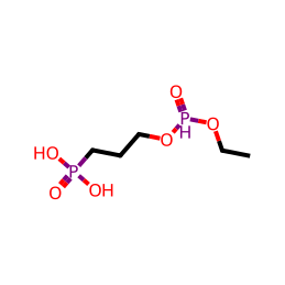 CCO[PH](=O)OCCCP(=O)(O)O